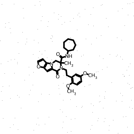 COc1ccc(OC)c(CCN2C(=O)c3cc4occc4n3CC2(C)C(=O)NC2CCCCCC2)c1